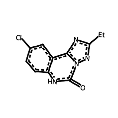 CCc1nc2c3cc(Cl)ccc3[nH]c(=O)n2n1